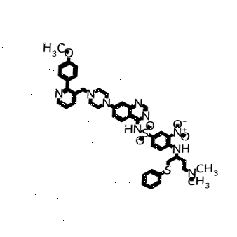 COc1ccc(-c2ncccc2CN2CCN(c3ccc4c(NS(=O)(=O)c5ccc(NC(CCN(C)C)CSc6ccccc6)c([N+](=O)[O-])c5)ncnc4c3)CC2)cc1